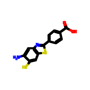 Nc1cc2nc(-c3ccc(C(=O)O)cc3)sc2cc1S